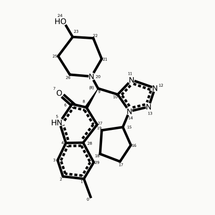 Cc1ccc2[nH]c(=O)c([C@H](c3nnnn3C3CCCC3)N3CCC(O)CC3)cc2c1